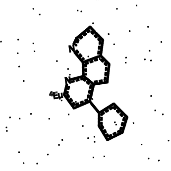 [4Eu].c1ccc(-c2ccnc3c2ccc2cccnc23)cc1